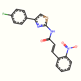 O=C(/C=C/c1ccccc1[N+](=O)[O-])Nc1nc(-c2ccc(F)cc2)cs1